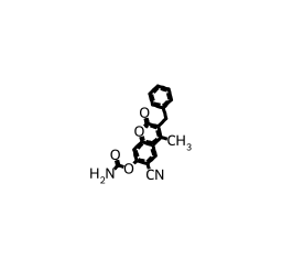 Cc1c(Cc2ccccc2)c(=O)oc2cc(OC(N)=O)c(C#N)cc12